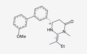 CC/C(C)=C1/N[C@H](c2cccc(-c3cccc(OC)c3)c2)CC(=O)N1C